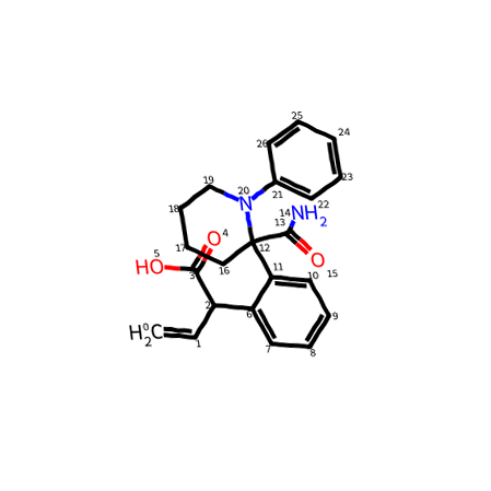 C=CC(C(=O)O)c1ccccc1C1(C(N)=O)CCCCN1c1ccccc1